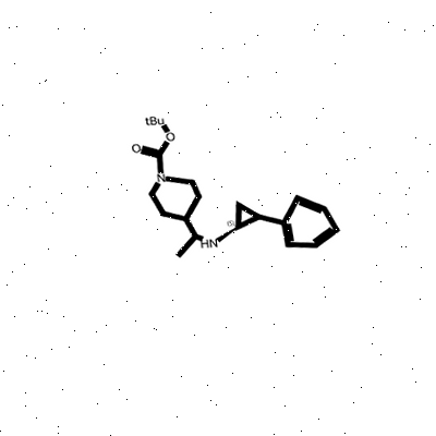 CC(N[C@H]1CC1c1ccccc1)C1CCN(C(=O)OC(C)(C)C)CC1